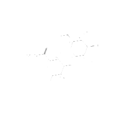 CNC(=O)[C@@H](O)[C@H](O)C(O[C@@H]1O[C@@H](CO)[C@H](O)[C@@H](O)[C@@H]1O)[C@@H](O)CO